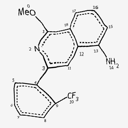 COc1nc(-c2ccccc2C(F)(F)F)cc2c(N)cccc12